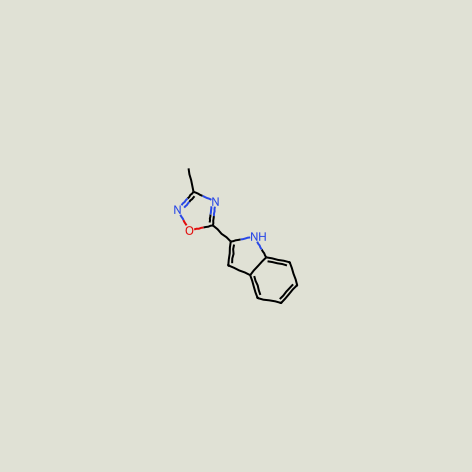 Cc1noc(-c2cc3ccccc3[nH]2)n1